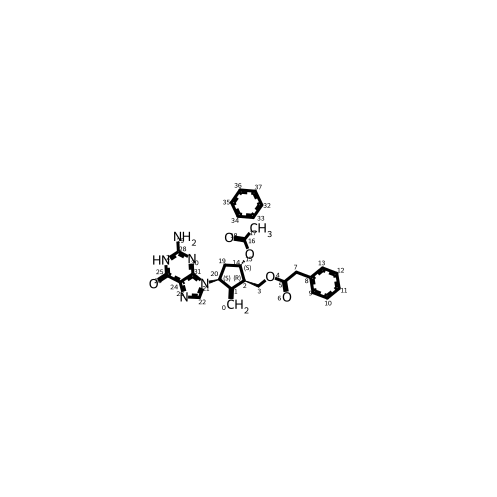 C=C1[C@H](COC(=O)Cc2ccccc2)[C@@H](OC(C)=O)C[C@@H]1n1cnc2c(=O)[nH]c(N)nc21.c1ccccc1